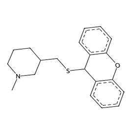 CN1CCCC(CSC2c3ccccc3Oc3ccccc32)C1